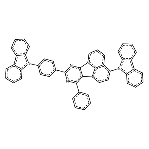 c1ccc(-c2nc(-c3ccc(-n4c5ccccc5c5ccccc54)cc3)nc3c2-c2ccc(-n4c5ccccc5c5ccccc54)c4cccc-3c24)cc1